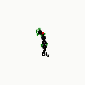 CCCCCc1cc(F)c(C2CC=C(C3CCC(C(F)(F)Oc4cc(F)c(F)c(F)c4)CC3)CC2)c(F)c1